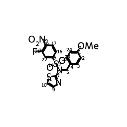 COc1ccc(CN(c2nccs2)S(=O)(=O)c2ccc([N+](=O)[O-])c(F)c2)cc1